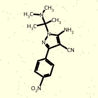 CN(C)C(C)(C)n1nc(-c2ccc([N+](=O)[O-])cc2)c(C#N)c1N